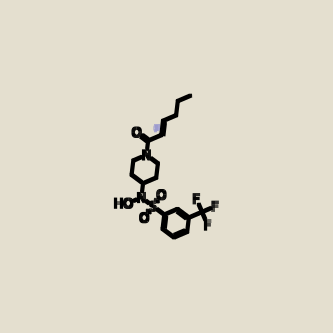 CCC/C=C/C(=O)N1CCC(N(O)S(=O)(=O)c2cccc(C(F)(F)F)c2)CC1